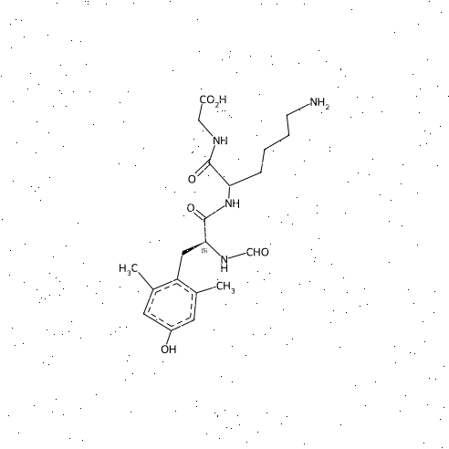 Cc1cc(O)cc(C)c1C[C@H](NC=O)C(=O)NC(CCCCN)C(=O)NCC(=O)O